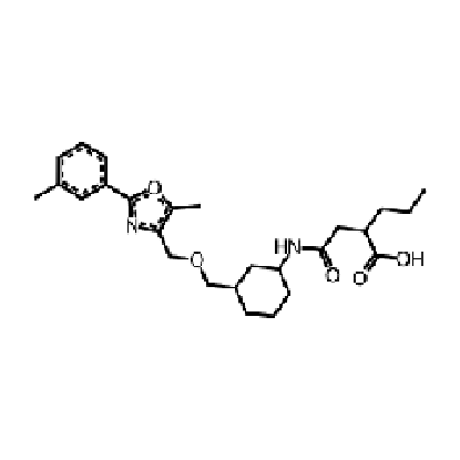 CCCC(CC(=O)NC1CCCC(COCc2nc(-c3cccc(C)c3)oc2C)C1)C(=O)O